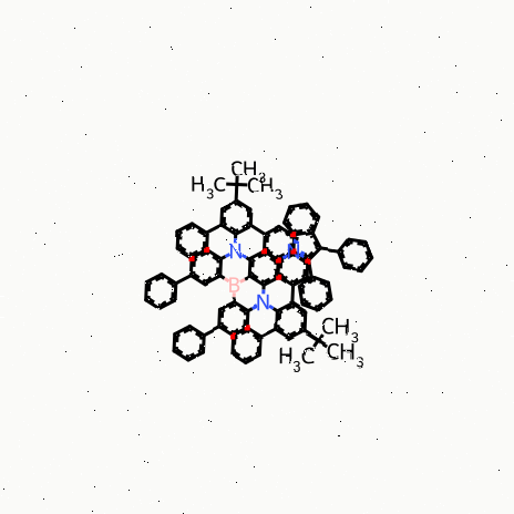 CC(C)(C)c1cc(-c2ccccc2)c(N2c3ccc(-c4ccccc4)cc3B3c4cc(-c5ccccc5)ccc4N(c4c(-c5ccccc5)cc(C(C)(C)C)cc4-c4ccccc4)c4cc(-n5c(-c6ccccc6)c(-c6ccccc6)c6ccccc65)cc2c43)c(-c2ccccc2)c1